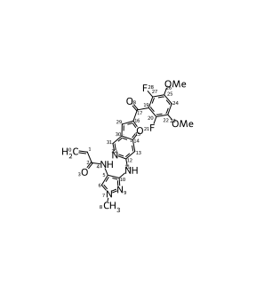 C=CC(=O)Nc1cn(C)nc1Nc1cc2oc(C(=O)c3c(F)c(OC)cc(OC)c3F)cc2cn1